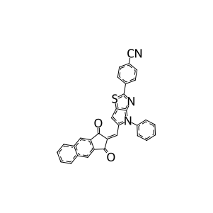 N#Cc1ccc(-c2nc3c(cc(C=C4C(=O)c5cc6ccccc6cc5C4=O)n3-c3ccccc3)s2)cc1